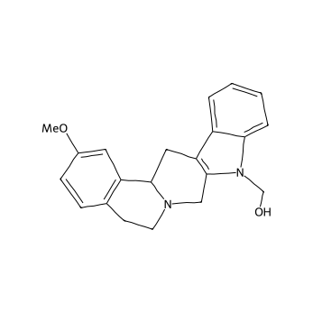 COc1ccc2c(c1)C1Cc3c(n(CO)c4ccccc34)CN1CC2